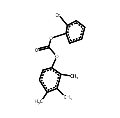 CCc1ccccc1OC(=O)Oc1ccc(C)c(C)c1C